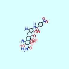 CN(C)c1cc(NC(=O)c2ccc([N+](=O)[O-])cc2)c(O)c2c1CC1CC3[C@H](N(C)C)C(O)=C(C(N)=O)C(=O)[C@@]3(O)C(O)=C1C2=O